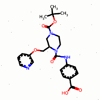 CC(C)(C)OC(=O)N1CCN(C(=O)Nc2ccc(C(=O)O)cc2)C(COc2cccnc2)C1